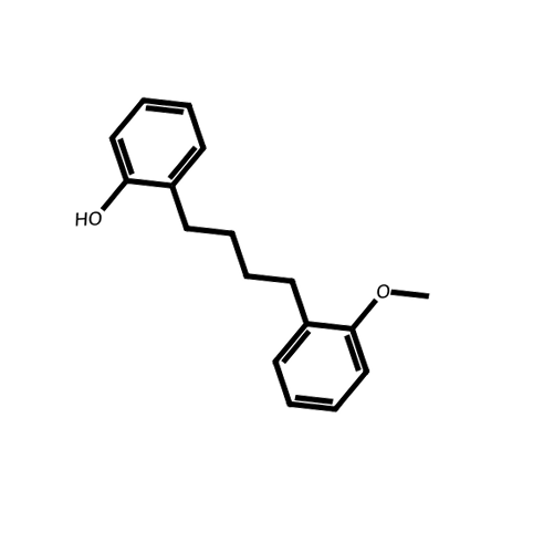 COc1ccccc1CCCCc1ccccc1O